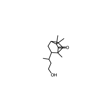 CC(CCO)C1CC2CCC1(C)C(=O)C2(C)C